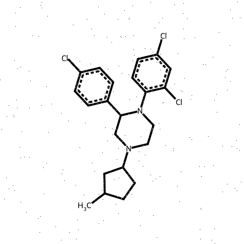 CC1CCC(N2CCN(c3ccc(Cl)cc3Cl)C(c3ccc(Cl)cc3)C2)C1